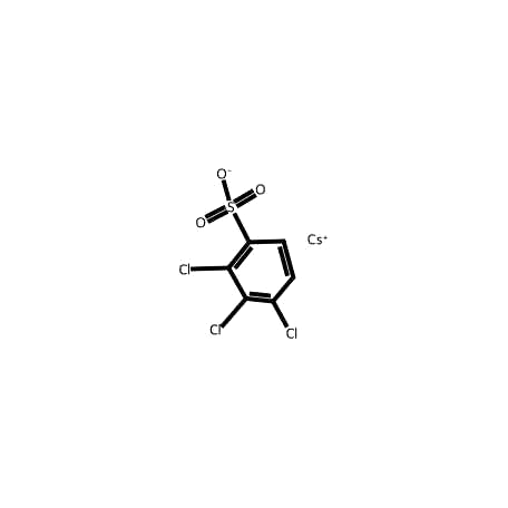 O=S(=O)([O-])c1ccc(Cl)c(Cl)c1Cl.[Cs+]